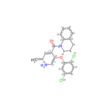 C=C/C=C(C(=O)N1CCCc2ccccc21)\C(=C/N)Oc1cc(Cl)ccc1Cl